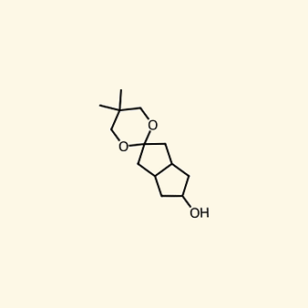 CC1(C)COC2(CC3CC(O)CC3C2)OC1